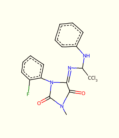 CN1C(=O)/C(=N\C(Nc2ccccc2)C(Cl)(Cl)Cl)N(c2ccccc2F)C1=O